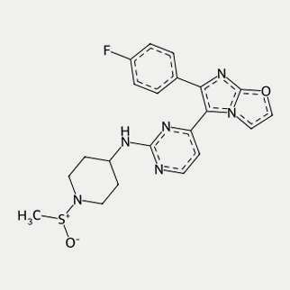 C[S+]([O-])N1CCC(Nc2nccc(-c3c(-c4ccc(F)cc4)nc4occn34)n2)CC1